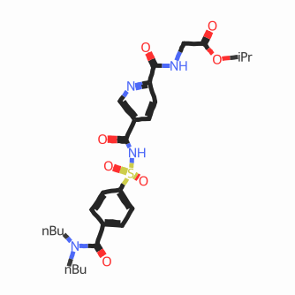 CCCCN(CCCC)C(=O)c1ccc(S(=O)(=O)NC(=O)c2ccc(C(=O)NCC(=O)OC(C)C)nc2)cc1